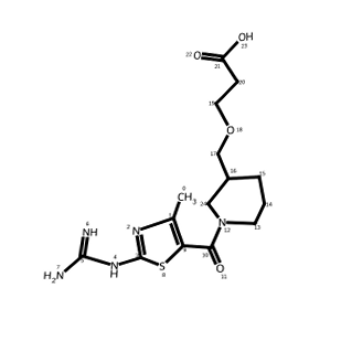 Cc1nc(NC(=N)N)sc1C(=O)N1CCCC(COCCC(=O)O)C1